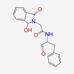 O=CC(Cc1ccccc1)NC(=O)CN1C(=O)c2ccccc2C1O